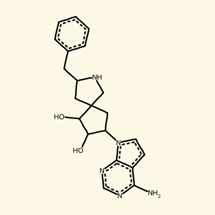 Nc1ncnc2c1ccn2C1CC2(CNC(Cc3ccccc3)C2)C(O)C1O